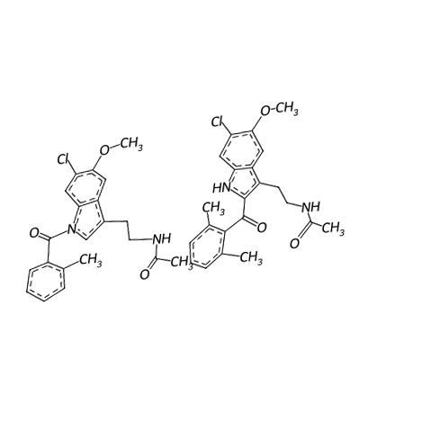 COc1cc2c(CCNC(C)=O)c(C(=O)c3c(C)cccc3C)[nH]c2cc1Cl.COc1cc2c(CCNC(C)=O)cn(C(=O)c3ccccc3C)c2cc1Cl